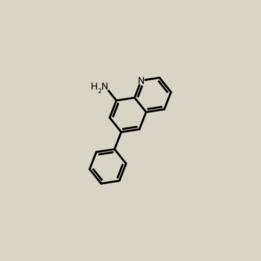 Nc1cc(-c2ccccc2)cc2cccnc12